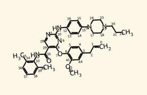 C=CCc1ccc(Oc2nc(Nc3ccc(N4CCN(CCC)CC4)cc3)ncc2C(=O)Nc2c(C)cccc2C)c(OC)c1